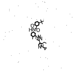 CCc1c(-c2cn(-c3cc(NC(=O)c4cc(C(C)(C)C)ccc4OC)ccc3C)nn2)cnn1C1CC1